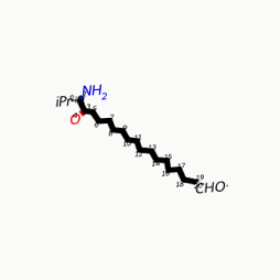 CC(C)[C@H](N)C(=O)CCCCCCCCCCCCCCC[C]=O